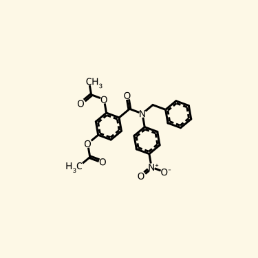 CC(=O)Oc1ccc(C(=O)N(Cc2ccccc2)c2ccc([N+](=O)[O-])cc2)c(OC(C)=O)c1